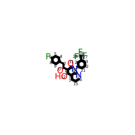 O=C(Cc1ccc(F)cc1)c1c(O)c2cccnc2n(-c2cccc(C(F)(F)F)c2)c1=O